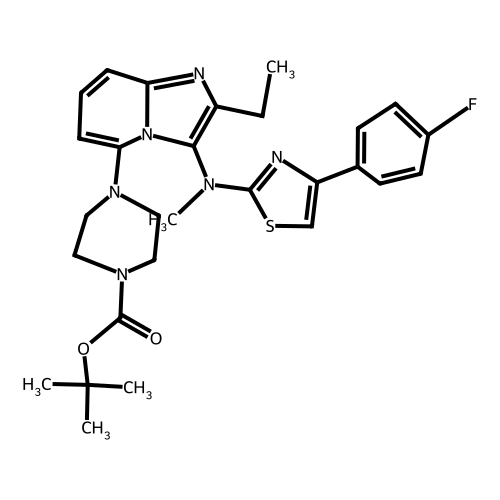 CCc1nc2cccc(N3CCN(C(=O)OC(C)(C)C)CC3)n2c1N(C)c1nc(-c2ccc(F)cc2)cs1